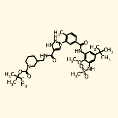 COc1c(NC(=O)c2ccc(C)c(N3C=C(C(=O)NCC4CCCN(C(=O)OC(C)(C)C)C4)NN3)c2)cc(C(C)(C)C)cc1NS(C)(=O)=O